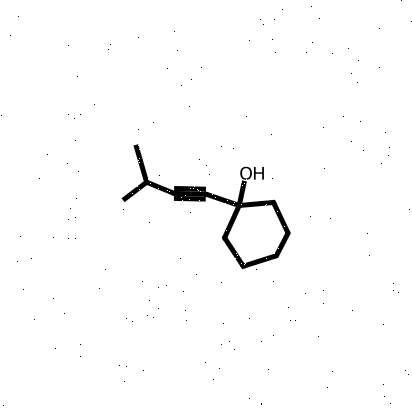 CC(C)C#CC1(O)CCCCC1